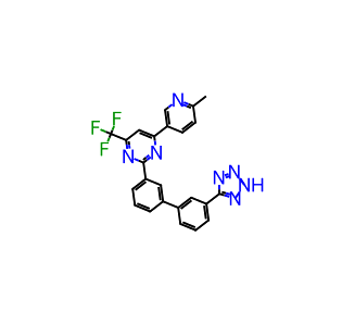 Cc1ccc(-c2cc(C(F)(F)F)nc(-c3cccc(-c4cccc(-c5nn[nH]n5)c4)c3)n2)cn1